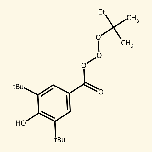 CCC(C)(C)OOOC(=O)c1cc(C(C)(C)C)c(O)c(C(C)(C)C)c1